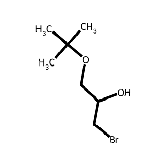 CC(C)(C)OCC(O)CBr